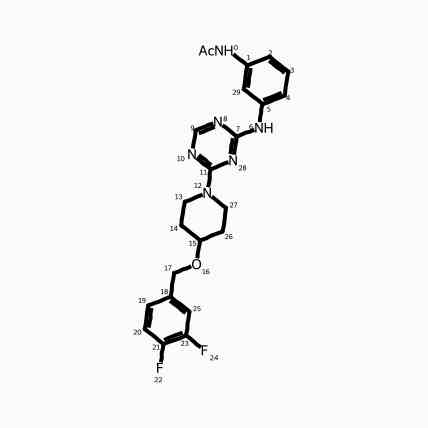 CC(=O)Nc1cccc(Nc2ncnc(N3CCC(OCc4ccc(F)c(F)c4)CC3)n2)c1